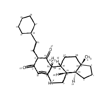 C[C@@]12CCC[C@H]1[C@@H]1CNC3=CC(=O)C(CCC4CCCCC4)C(=O)[C@]3(C)[C@@H]1CC2